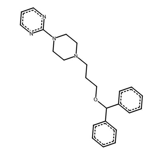 c1ccc(C(OCCCN2CCN(c3ncccn3)CC2)c2ccccc2)cc1